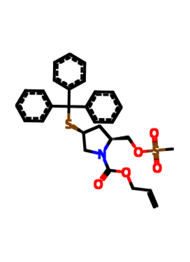 C=CCOC(=O)N1C[C@@H](SC(c2ccccc2)(c2ccccc2)c2ccccc2)C[C@H]1COS(C)(=O)=O